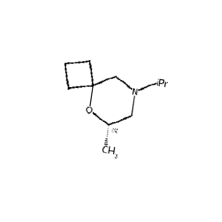 CC(C)N1C[C@H](C)OC2(CCC2)C1